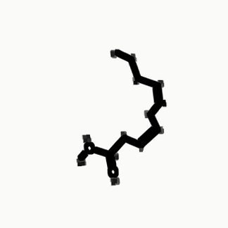 CCC/C=C\C/C=C\CC(=O)OC